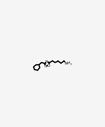 NCCCC[CH]c1nc(CC2CCCCC2)no1